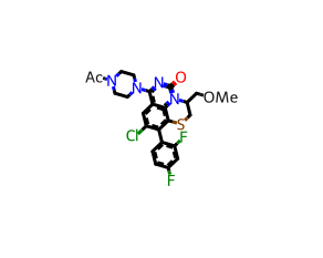 COCC1CSc2c(-c3ccc(F)cc3F)c(Cl)cc3c(N4CCN(C(C)=O)CC4)nc(=O)n1c23